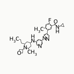 CCCC1CC(Nc2cncc(-n3cc(-c4cc(C(=O)NC5CC5)c(F)cc4C)cn3)c2)CC(C)N1C1COC1